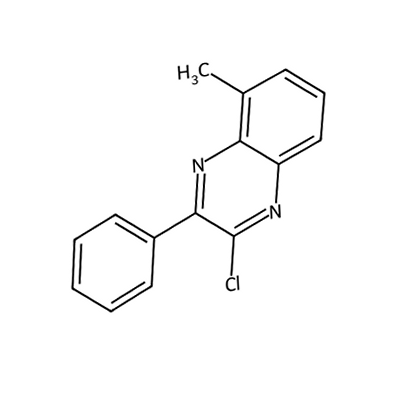 Cc1cccc2nc(Cl)c(-c3ccccc3)nc12